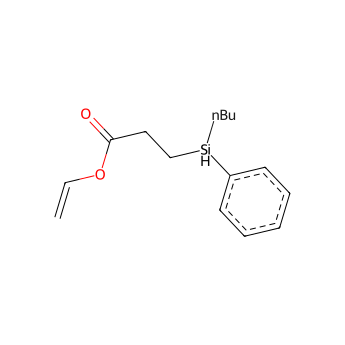 C=COC(=O)CC[SiH](CCCC)c1ccccc1